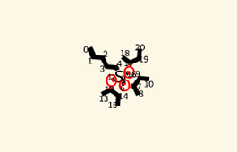 C=CCCC[Si](OC(C)CC)(OC(C)CC)OC(C)CC